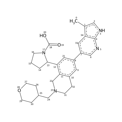 Cc1c[nH]c2ncc(-c3cc4c(c(C5CCCN5C(=O)O)c3)CN(CC3CCOCC3)CC4)cc12